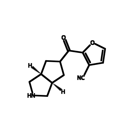 N#Cc1ccoc1C(=O)C1C[C@H]2CNC[C@H]2C1